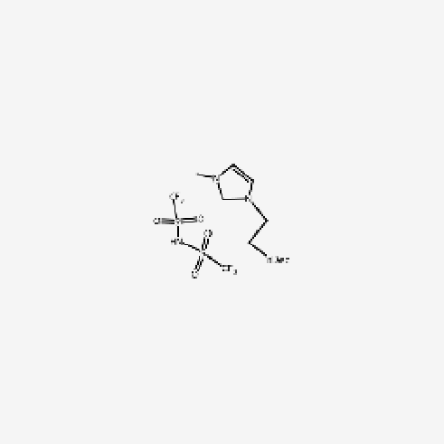 CCCCCCCCCCCCN1C=CN(C)C1.O=S(=O)(NS(=O)(=O)C(F)(F)F)C(F)(F)F